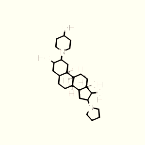 C[C@]12CC(N3CCC(O)CC3)C(O)CC1CC[C@@H]1[C@H]2CC[C@]2(C)C(O)C(N3CCCC3)C[C@@H]12